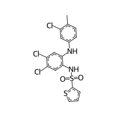 Cc1ccc(Nc2cc(Cl)c(Cl)cc2NS(=O)(=O)c2cccs2)cc1Cl